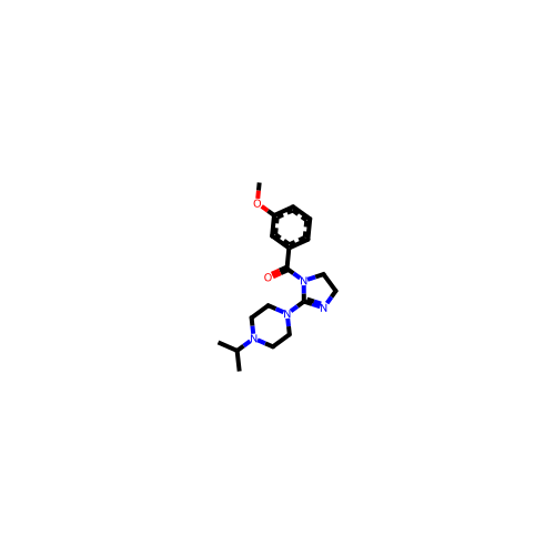 COc1cccc(C(=O)N2CCN=C2N2CCN(C(C)C)CC2)c1